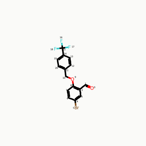 O=Cc1cc(Br)ccc1OCc1ccc(C(F)(F)F)cc1